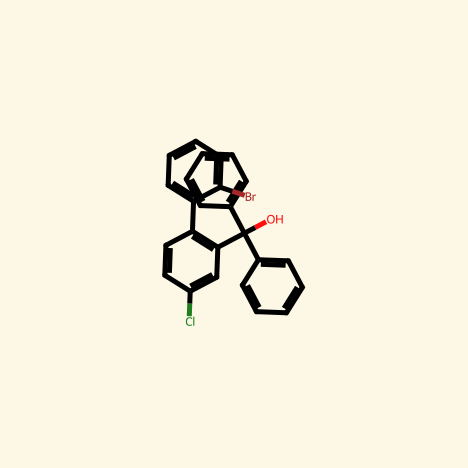 OC(c1ccccc1)(c1ccccc1)c1cc(Cl)ccc1-c1ccccc1Br